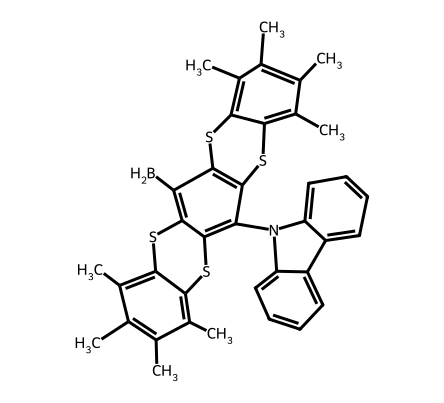 Bc1c2sc3c(C)c(C)c(C)c(C)c3sc2c(-n2c3ccccc3c3ccccc32)c2sc3c(C)c(C)c(C)c(C)c3sc12